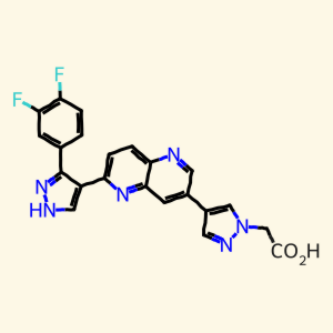 O=C(O)Cn1cc(-c2cnc3ccc(-c4c[nH]nc4-c4ccc(F)c(F)c4)nc3c2)cn1